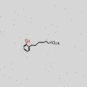 CCCCCCCCCCCCC[CH]c1ccccc1O